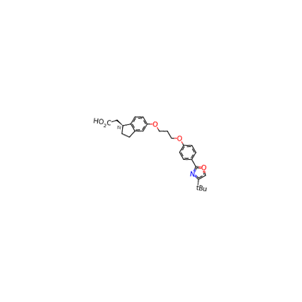 CC(C)(C)c1coc(-c2ccc(OCCCOc3ccc4c(c3)CC[C@H]4CC(=O)O)cc2)n1